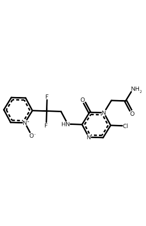 NC(=O)Cn1c(Cl)cnc(NCC(F)(F)c2cccc[n+]2[O-])c1=O